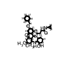 CC1(C)CC(=O)C2=C(C1)NC1=C(O)CCC=C1N(C(=O)CCC(=O)NC1CC1)C2c1ccc(OCc2ccccc2)cc1Cl